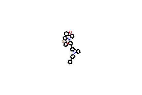 c1ccc(-c2ccc(-n3c4ccccc4c4cc(-c5ccc(N(c6cccc7oc8ccccc8c67)c6cccc7sc8ccccc8c67)cc5)ccc43)cc2)cc1